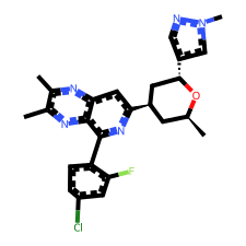 Cc1nc2cc([C@@H]3C[C@H](C)O[C@@H](c4cnn(C)c4)C3)nc(-c3ccc(Cl)cc3F)c2nc1C